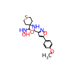 COc1ccc(-c2cc(CNC3(C(=O)NO)CCSCC3)no2)cc1